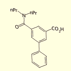 CCCN(CCC)C(=O)c1cc(C(=O)O)cc(-c2ccccc2)c1